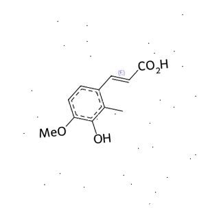 COc1ccc(/C=C/C(=O)O)c(C)c1O